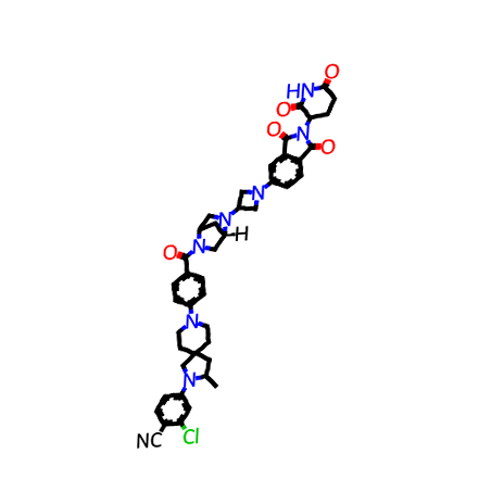 CC1CC2(CCN(c3ccc(C(=O)N4C[C@@H]5CC4CN5C4CN(c5ccc6c(c5)C(=O)N(C5CCC(=O)NC5=O)C6=O)C4)cc3)CC2)CN1c1ccc(C#N)c(Cl)c1